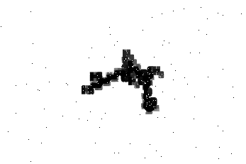 CCC(C)(CCOCC1CCCO1)OCCC(C)(CC)OC(=O)CCCCC(S)CCS